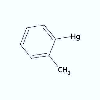 Cc1cccc[c]1[Hg]